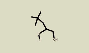 CC(C)(C)CC(CO)OI